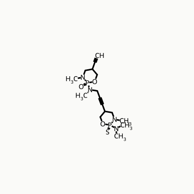 C#CC1COP(=O)(N(C)CC#CC2COP(=S)(N(C)C)N(C)C2)N(C)C1